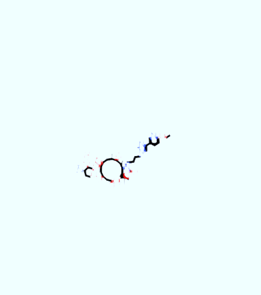 CCOc1ccc(-c2cn(CCCCN3C(=O)O[C@]45C(C)[C@H]4OC(=O)[C@H](C)C(=O)[C@H](C)[C@@H](OC4O[C@H](C)C[C@H](N(C)C)[C@H]4O)[C@@](C)(OC)C[C@@H](C)C(=O)[C@H](C)[C@@H]35)cn2)cn1